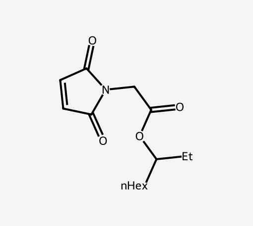 CCCCCCC(CC)OC(=O)CN1C(=O)C=CC1=O